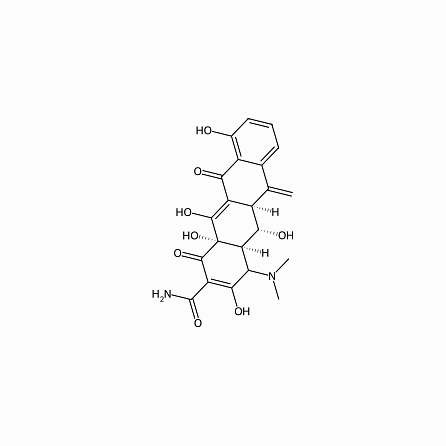 C=C1c2cccc(O)c2C(=O)C2=C(O)[C@]3(O)C(=O)C(C(N)=O)=C(O)C(N(C)C)[C@@H]3[C@@H](O)[C@H]12